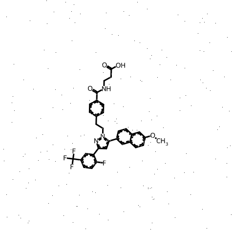 COc1ccc2cc(-c3cc(-c4cc(C(F)(F)F)ccc4F)nn3CCc3ccc(C(=O)NCCC(=O)O)cc3)ccc2c1